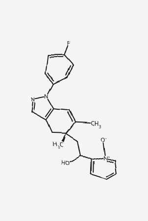 CC1=Cc2c(cnn2-c2ccc(F)cc2)C[C@@]1(C)CC(O)c1cccc[n+]1[O-]